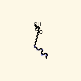 CC/C=C\C/C=C\C/C=C\C/C=C\C/C=C\CCCCCCCCC(=O)c1ccc(CO)o1